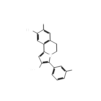 CCOC(=O)c1cc2n(c1-c1cccc(F)c1)CCc1cc(O)c(O)cc1-2